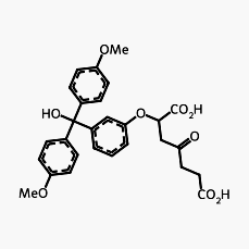 COc1ccc(C(O)(c2ccc(OC)cc2)c2cccc(OC(CC(=O)CCC(=O)O)C(=O)O)c2)cc1